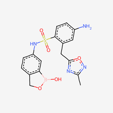 Cc1noc(Cc2cc(N)ccc2S(=O)(=O)Nc2ccc3c(c2)B(O)OC3)n1